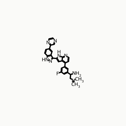 CN(C)CC(N)c1cc(F)cc(-c2ccnc3[nH]c(-c4n[nH]c5ccc(-c6cnccn6)cc45)cc23)c1